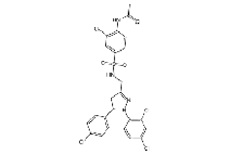 CC(=O)Nc1ccc(S(=O)(=O)NCC2=NN(c3ccc(Cl)cc3Cl)C(c3ccc(Cl)cc3)C2)cc1Cl